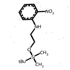 CC(C)(C)[Si](C)(C)OCCNc1ccccc1[N+](=O)[O-]